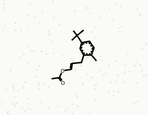 CC(=O)OC=CCc1cc(C(C)(C)C)ccc1C